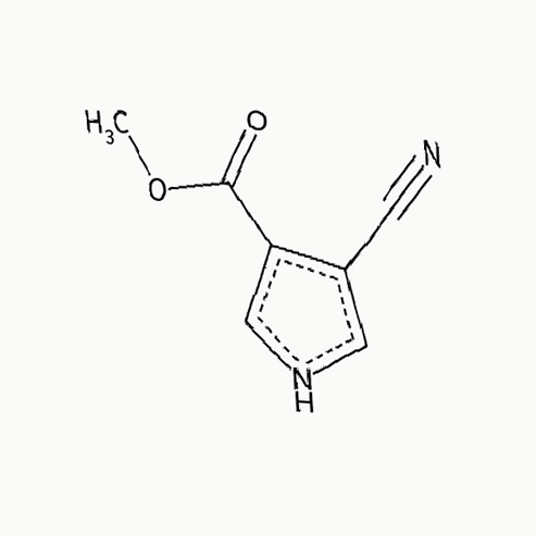 COC(=O)c1c[nH]cc1C#N